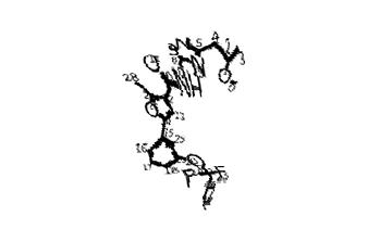 COC(C)Cc1nsc(NC(=O)c2cc(-c3cccc(OC(F)(F)F)c3)oc2C)n1